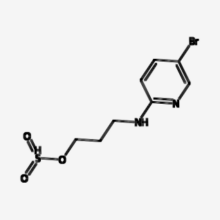 O=[SH](=O)OCCCNc1ccc(Br)cn1